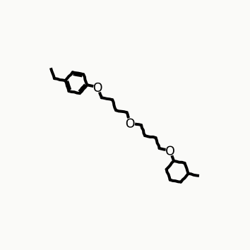 CCc1ccc(OCCCCOCCCCOC2CCCC(C)C2)cc1